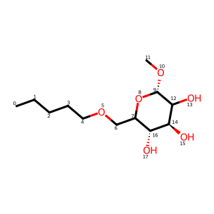 CCCCCOCC1O[C@H](OC)C(O)[C@@H](O)[C@@H]1O